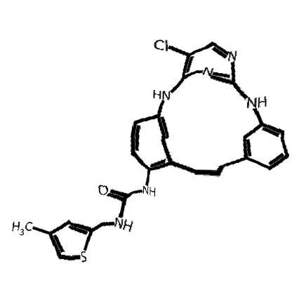 Cc1csc(NC(=O)Nc2ccc3cc2CCc2cccc(c2)Nc2ncc(Cl)c(n2)N3)c1